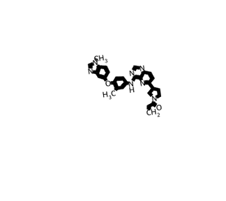 C=CC(=O)N1CCC(c2ccc3ncnc(Nc4ccc(Oc5ccc6c(c5)ncn6C)c(C)c4)c3n2)C1